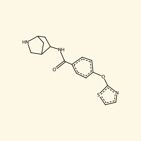 O=C(NC1CC2CC1CN2)c1ccc(Oc2nccs2)cc1